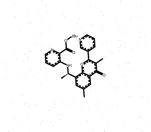 Cc1cc([C@@H](C)Nc2cccnc2C(=O)OC(C)(C)C)c2oc(-c3cccnc3)c(C)c(=O)c2c1